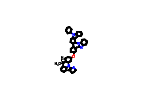 CC1(C)c2ccc(Oc3ccc4c(c3)c3nc5ccccc5n3c3c4ccc4c3c3ccccc3n4-c3ccccc3)cc2-n2c3ncccc3c3cccc1c32